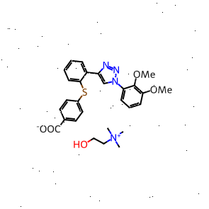 COc1cccc(-n2cc(-c3ccccc3Sc3ccc(C(=O)[O-])cc3)nn2)c1OC.C[N+](C)(C)CCO